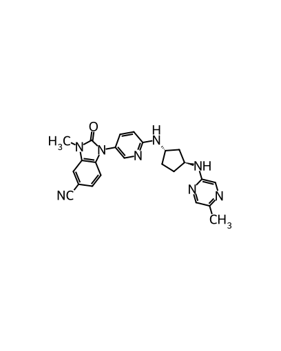 Cc1cnc(N[C@H]2CC[C@H](Nc3ccc(-n4c(=O)n(C)c5cc(C#N)ccc54)cn3)C2)cn1